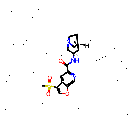 CS(=O)(=O)c1coc2cnc(C(=O)N[C@@H]3C[C@H]4CCN(C4)C3)cc12